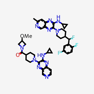 COC1CN(C(=O)C2CCN(c3nc4cnccc4nc3NC3CC3)CC2)C1.Cc1cc2nc(NC3CC3)c(N3CCC(C(F)c4cc(F)ccc4F)CC3)nc2cn1